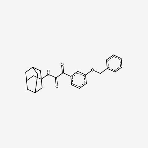 O=C(NC12CC3CC(CC(C3)C1)C2)C(=O)c1cccc(OCc2ccccc2)c1